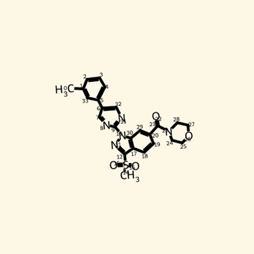 Cc1cccc(-c2cnc(-n3nc(S(C)(=O)=O)c4ccc(C(=O)N5CCOCC5)cc43)nc2)c1